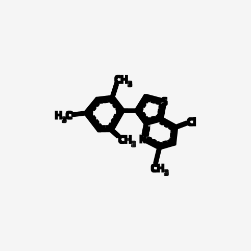 Cc1cc(C)c(-c2csc3c(Cl)cc(C)nc23)c(C)c1